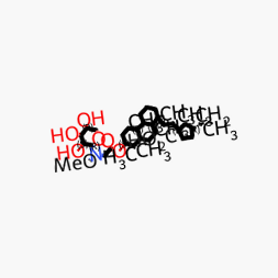 C=C(C)[C@@H]1CC[C@@](CC[C@]2(C)CCCC3[C@@]4(C)CC[C@H](OC(=O)CN(OC)[C@@H]5OC[C@@H](O)C(O)[C@@H]5O)C(C)(C)C4CC[C@]32C)(C(=O)O)C1C